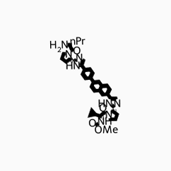 CCC[C@H](N)C(=O)N1CCC[C@H]1c1ncc(-c2ccc(-c3ccc4cc(-c5cnc([C@@H]6CCCN6C(=O)[C@@H](NC(=O)OC)C6CC6)[nH]5)ccc4c3)cc2)[nH]1